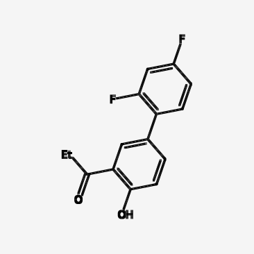 CCC(=O)c1cc(-c2ccc(F)cc2F)ccc1O